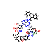 CCC(=O)N[C@H]1C[C@@H](n2cnc3c(NCC(c4ccccc4)c4ccccc4)nc(N4CC[C@@H](NC(=O)Nc5ccc(Oc6ccccc6)cc5)C4)nc32)[C@H](O)[C@@H]1O.O=C(O)C(F)(F)F